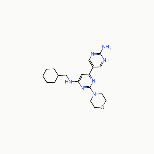 Nc1ncc(-c2cc(NCC3CCCCC3)nc(N3CCOCC3)n2)cn1